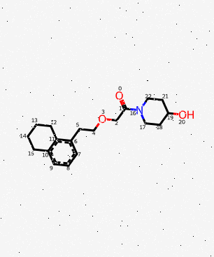 O=C(COCCc1cccc2c1CCCC2)N1CCC(O)CC1